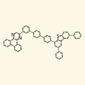 c1ccc(-c2ccc3sc4c(-c5ccc(-c6ccc(-c7cccc(-c8cnc9c%10ccccc%10c%10ccccc%10c9n8)c7)cc6)cc5)cc(-c5ccccc5)cc4c3c2)cc1